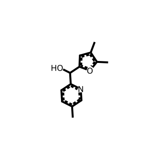 Cc1ccc(C(O)c2cc(C)c(C)o2)nc1